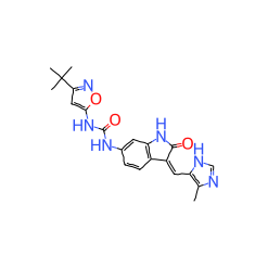 Cc1nc[nH]c1/C=C1\C(=O)Nc2cc(NC(=O)Nc3cc(C(C)(C)C)no3)ccc21